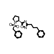 O=S(=O)(Cc1ccccc1)N1CCC[C@H]1c1nc(CCCc2ccccc2)no1